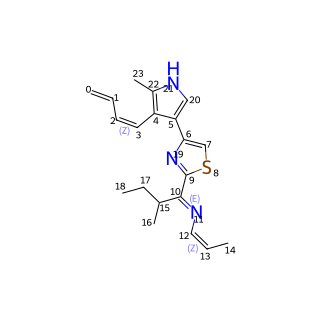 C=C/C=C\c1c(-c2csc(/C(=N/C=C\C)C(C)CC)n2)c[nH]c1C